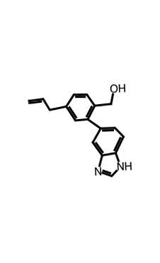 C=CCc1ccc(CO)c(-c2ccc3[nH]cnc3c2)c1